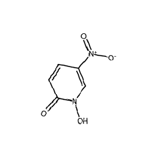 O=c1ccc([N+](=O)[O-])cn1O